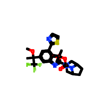 COC(C)(c1cc(-c2nccs2)c2oc(N3CC4CCC(C3)N4C(=O)OC(C)(C)C)nc2c1)C(F)(F)F